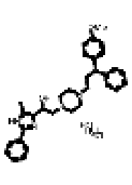 COc1ccc(C(CCN2CCN(CC(O)c3nc(-c4ccccc4)[nH]c3C)CC2)c2ccccc2)cc1.Cl.Cl.Cl